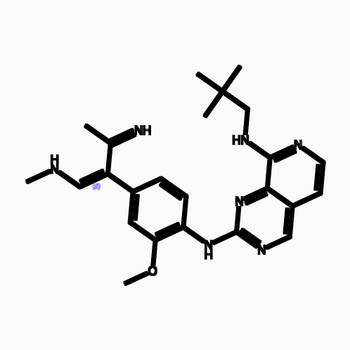 CN/C=C(\C(C)=N)c1ccc(Nc2ncc3ccnc(NCC(C)(C)C)c3n2)c(OC)c1